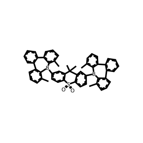 Cc1cccc2c1B(c1ccc3c(c1)C(C)(C)c1cc(B4c5c(C)cccc5-c5ccccc5-c5cccc(C)c54)ccc1S3(=O)=O)c1c(C)cccc1-c1ccccc1-2